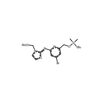 COCn1ccs/c1=N\c1cc(Br)cc(CO[Si](C)(C)C(C)(C)C)n1